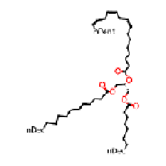 CCCCC/C=C\C/C=C\C/C=C\CCCCCCC(=O)O[C@H](COC(=O)CCCCCCCCCCCCCCCC)COC(=O)CCCCCCCCCCCCCCCCCCCC